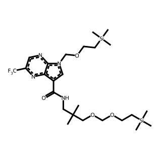 CC(C)(CNC(=O)c1cn(COCC[Si](C)(C)C)c2ncc(C(F)(F)F)nc12)COCOCC[Si](C)(C)C